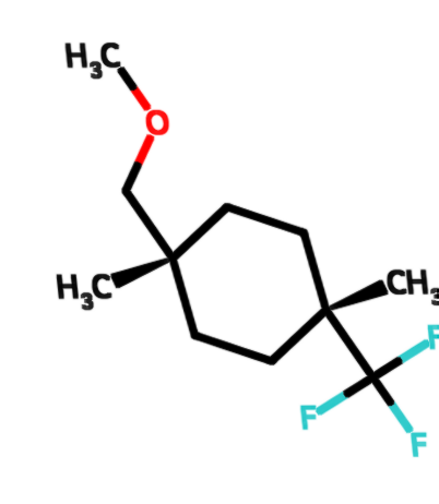 COC[C@]1(C)CC[C@](C)(C(F)(F)F)CC1